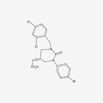 O=C(O)/C=C1/CN(Cc2ccc(Cl)cc2Cl)C(=O)N(c2ccc(Br)cc2)C1